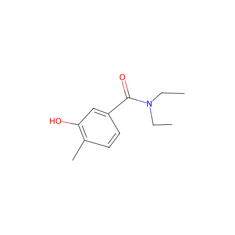 CCN(CC)C(=O)c1ccc(C)c(O)c1